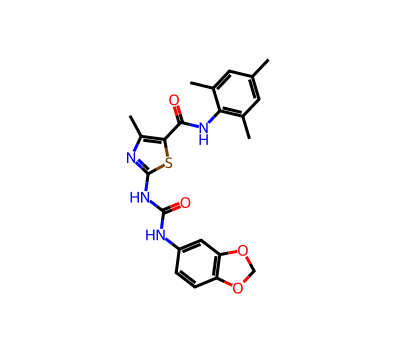 Cc1cc(C)c(NC(=O)c2sc(NC(=O)Nc3ccc4c(c3)OCO4)nc2C)c(C)c1